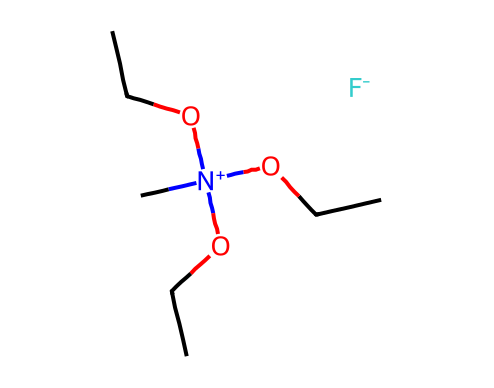 CCO[N+](C)(OCC)OCC.[F-]